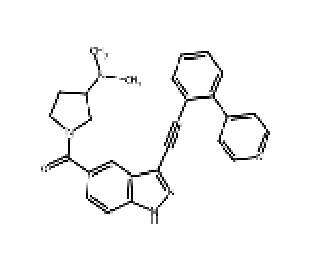 CN(C)C1CCN(C(=O)c2ccc3[nH]nc(C#Cc4ccccc4-c4ccncc4)c3c2)C1